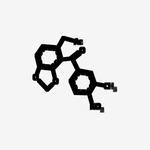 CC(=O)Cc1ccc2c(c1C(=O)c1ccc([N+](=O)[O-])c(C)c1)OCO2